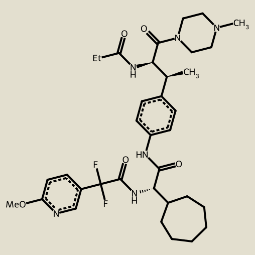 CCC(=O)N[C@@H](C(=O)N1CCN(C)CC1)[C@@H](C)c1ccc(NC(=O)[C@@H](NC(=O)C(F)(F)c2ccc(OC)nc2)C2CCCCCC2)cc1